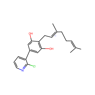 CC(C)=CCC/C(C)=C/Cc1c(O)cc(-c2cccnc2Cl)cc1O